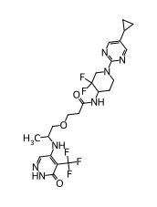 CC(COCCC(=O)NC1CCN(c2ncc(C3CC3)cn2)CC1(F)F)Nc1cn[nH]c(=O)c1C(F)(F)F